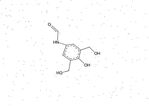 O=CNc1cc(CO)c(O)c(CO)c1